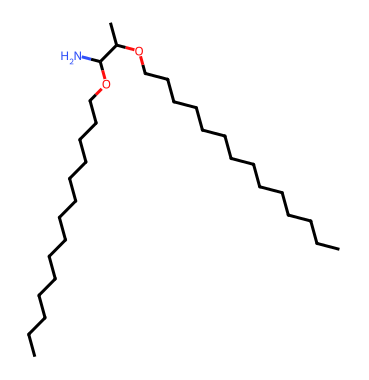 CCCCCCCCCCCCCCOC(C)C(N)OCCCCCCCCCCCCCC